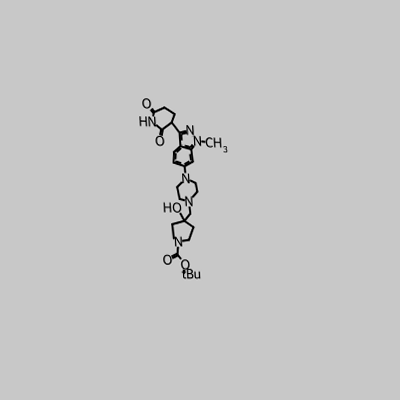 Cn1nc(C2CCC(=O)NC2=O)c2ccc(N3CCN(CC4(O)CCN(C(=O)OC(C)(C)C)CC4)CC3)cc21